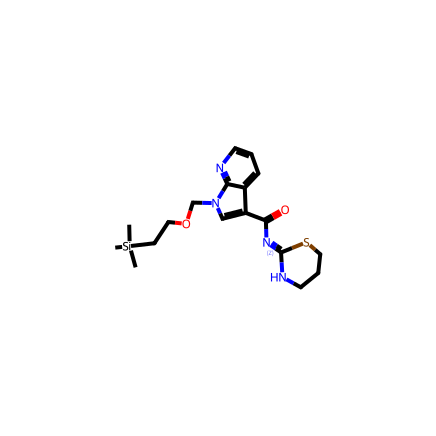 C[Si](C)(C)CCOCn1cc(C(=O)/N=C2/NCCCS2)c2cccnc21